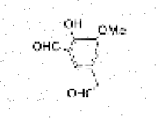 COc1cc(CC=O)cc(C=O)c1O